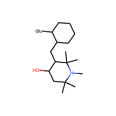 CN1C(C)(C)CC(O)C(CC2CCCCC2C(C)(C)C)C1(C)C